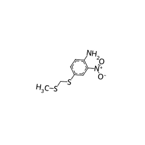 CSCSc1ccc(N)c([N+](=O)[O-])c1